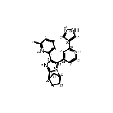 Cc1cccc(-c2nc3n(c2-c2ccnc(-c4cn[nH]c4)c2)C2CCC3C2)n1